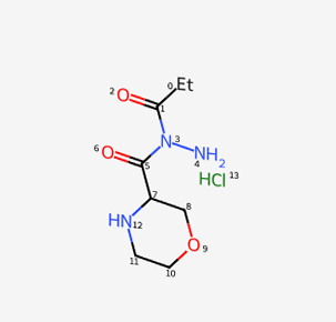 CCC(=O)N(N)C(=O)C1COCCN1.Cl